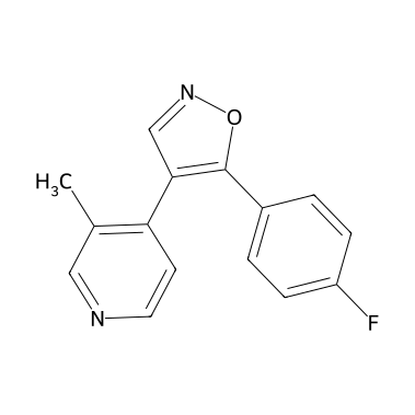 Cc1cnccc1-c1cnoc1-c1ccc(F)cc1